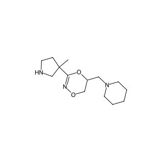 CC1(C2=NOCC(CN3CCCCC3)O2)CCNC1